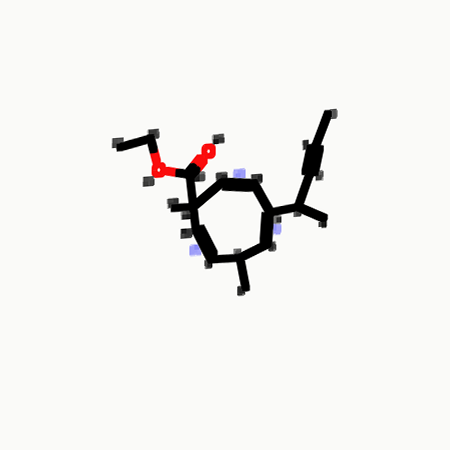 CC#CC(C)C1=C/C(C)/C=C\C(C)(C(=O)OCC)/C=C\1